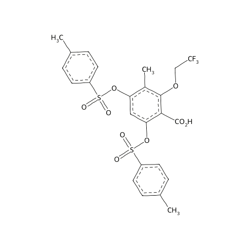 Cc1ccc(S(=O)(=O)Oc2cc(OS(=O)(=O)c3ccc(C)cc3)c(C(=O)O)c(OCC(F)(F)F)c2C)cc1